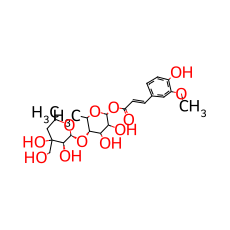 COc1cc(/C=C/C(=O)O[C@@H]2OC(C)[C@H](O[C@@H]3OC(C)CC(O)(CO)[C@@H]3O)C(O)C2O)ccc1O